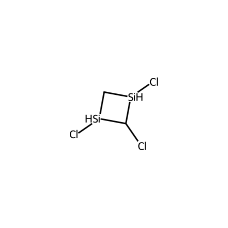 ClC1[SiH](Cl)C[SiH]1Cl